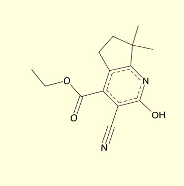 CCOC(=O)c1c(C#N)c(O)nc2c1CCC2(C)C